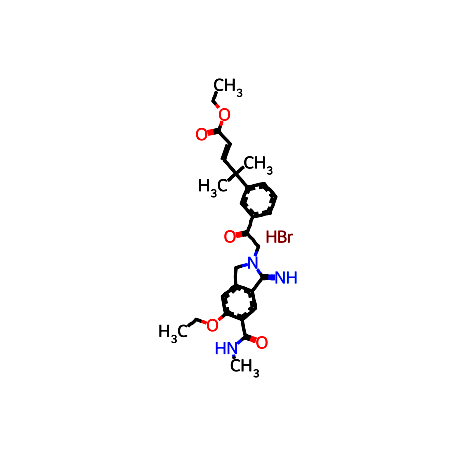 Br.CCOC(=O)/C=C/C(C)(C)c1cccc(C(=O)CN2Cc3cc(OCC)c(C(=O)NC)cc3C2=N)c1